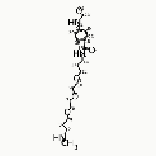 CNCCCOCCOCCOCCCNC(=O)c1ccc(NC=O)cc1